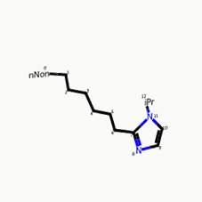 CCCCCCCCCCCCCCCc1nccn1C(C)C